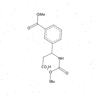 COC(=O)c1cccc(C(CC(=O)O)NC(=O)OC(C)(C)C)c1